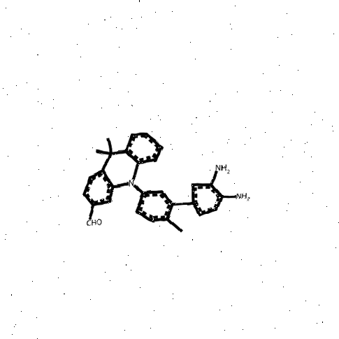 Cc1ccc(N2c3ccccc3C(C)(C)c3ccc(C=O)cc32)cc1-c1ccc(N)c(N)c1